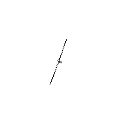 CCCCCCCCCCCCCCCCCCONOCCCCCCCCCCCCCCCCCC